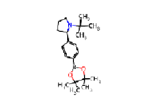 CC(C)(C)N1CCCC1c1ccc(B2OC(C)(C)C(C)(C)O2)cc1